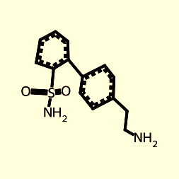 NCCc1ccc(-c2ccccc2S(N)(=O)=O)cc1